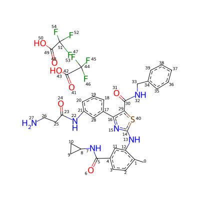 Cc1ccc(C(=O)NC2CC2)cc1Nc1nc(-c2cccc(NC(=O)CCN)c2)c(C(=O)NCc2ccccc2)s1.O=C(O)C(F)(F)F.O=C(O)C(F)(F)F